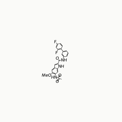 COc1cc2cc(C(=O)Nc3cccc(-c4ccc(F)cc4F)c3)[nH]c2cc1NS(C)(=O)=O